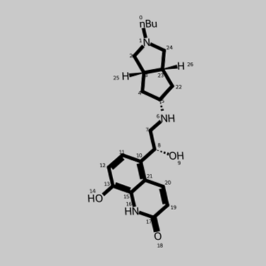 CCCCN1C[C@H]2C[C@@H](NC[C@H](O)c3ccc(O)c4[nH]c(=O)ccc34)C[C@H]2C1